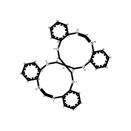 C1=Nc2ccccc2OCC2(COc3ccccc3N=1)COc1ccccc1N=C=Nc1ccccc1OC2